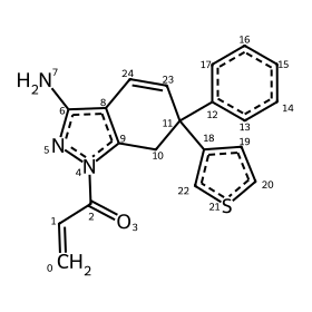 C=CC(=O)n1nc(N)c2c1CC(c1ccccc1)(c1ccsc1)C=C2